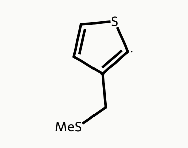 CSCc1[c]scc1